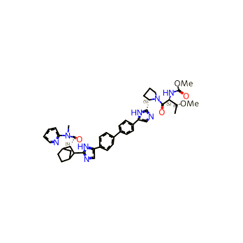 COC(=O)N[C@H](C(=O)N1CCC[C@H]1c1ncc(-c2ccc(-c3ccc(-c4cnc(C5C6CCC(C6)[C@@H]5C(=O)N(C)c5ccccn5)[nH]4)cc3)cc2)[nH]1)[C@@H](C)OC